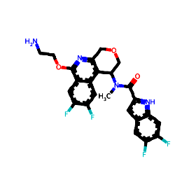 CN(C(=O)c1cc2cc(F)c(F)cc2[nH]1)C1COCc2nc(OCCN)c3cc(F)c(F)cc3c21